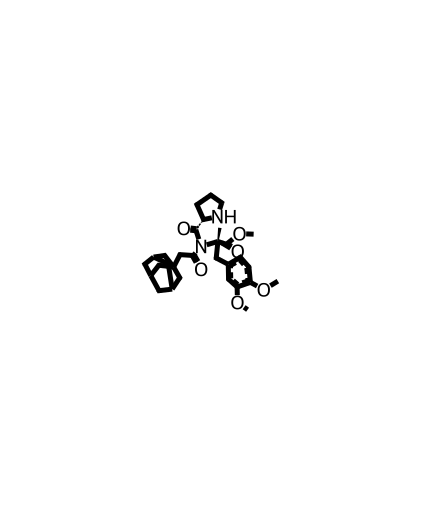 COC(=O)[C@](C)(Cc1ccc(OC)c(OC)c1)N(C(=O)CC12CC3CC(CC(C3)C1)C2)C(=O)[C@@H]1CCCN1